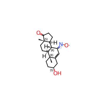 C[C@]12CC[C@H](O)CC1=C/C(=N\[O])[C@@H]1[C@@H]2CC[C@]2(C)C(=O)CC[C@@H]12